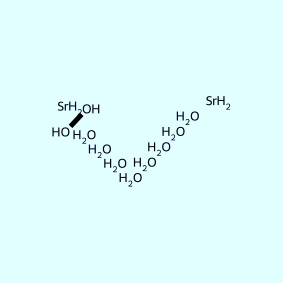 O.O.O.O.O.O.O.O.OO.[SrH2].[SrH2]